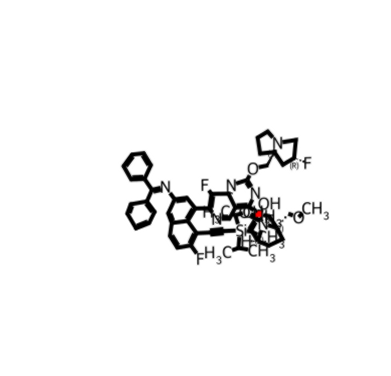 COC[C@@]12CC[C@@H](CN(c3nc(OC[C@@]45CCCN4C[C@H](F)C5)nc4c(F)c(-c5cc(N=C(c6ccccc6)c6ccccc6)cc6ccc(F)c(C#C[Si](C(C)C)(C(C)C)C(C)C)c56)ncc34)C1)N2C(=O)O